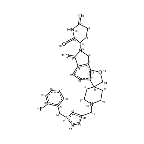 O=C1CCC(N2Cc3c(ccc4c3OCC43CCN(Cc4cnn(Cc5ccccc5F)c4)CC3)C2=O)C(=O)N1